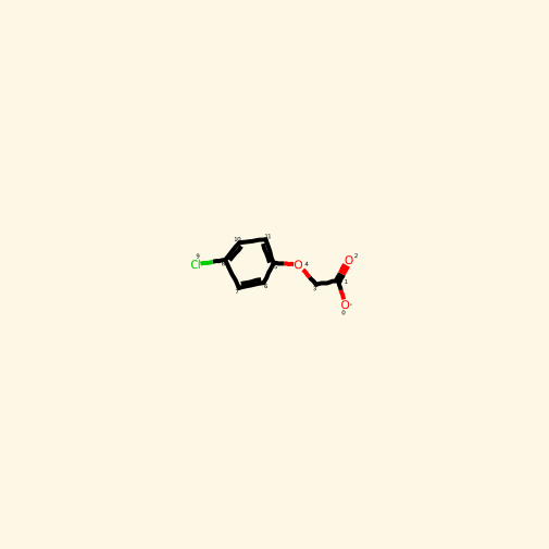 [O]C(=O)COc1ccc(Cl)cc1